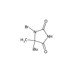 CCC(C)C1(C)C(=O)NC(=O)N1Br